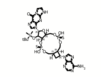 CC(C)(C)[Si](C)(C)OC1[C@H](n2cnc3c(=O)n4cc[nH]c4nc32)O[C@@H]2COP(O)(=S)OC[C@@H]3[C@@H](COP(O)(=S)O[C@@H]12)C[C@H]3n1cnc2c(N)ncnc21